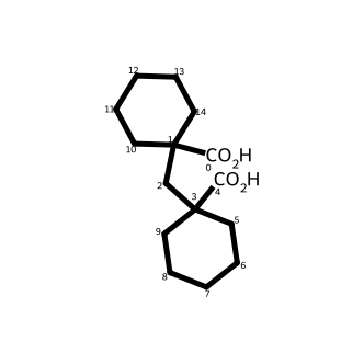 O=C(O)C1(CC2(C(=O)O)CCCCC2)CCCCC1